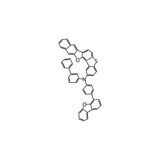 c1ccc(-c2cccc(N(c3ccc(-c4cccc5c4oc4ccccc45)cc3)c3ccc4sc5ccc6c7cc8ccccc8cc7oc6c5c4c3)c2)cc1